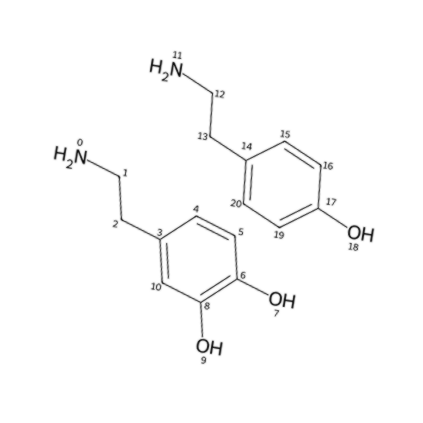 NCCc1ccc(O)c(O)c1.NCCc1ccc(O)cc1